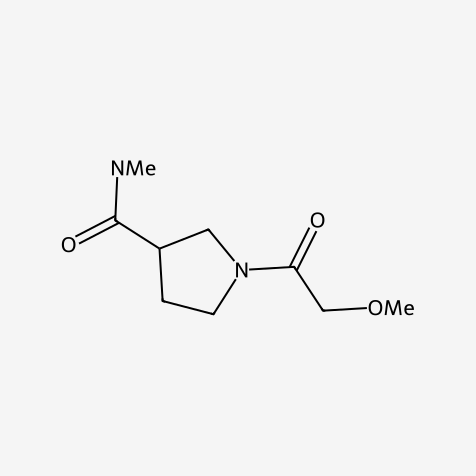 CNC(=O)C1CCN(C(=O)COC)C1